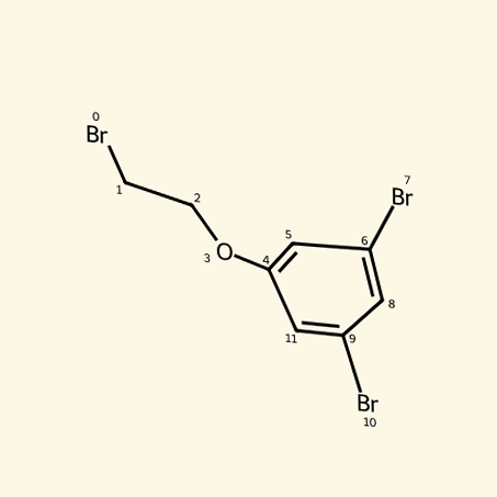 BrCCOc1cc(Br)cc(Br)c1